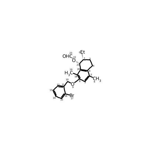 CC[C@@H]1CCc2c(C)cc(OCc3ccccc3Br)c(C)c2[C@@H]1OC=O